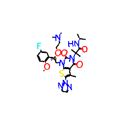 COc1ccc(F)cc1[C@H](Cn1c(=O)n(C(C)(C)C(=O)NC(C)C)c(=O)c2c(C)c(-n3nccn3)sc21)OCCN(C)C